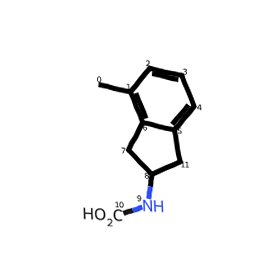 Cc1cccc2c1CC(NC(=O)O)C2